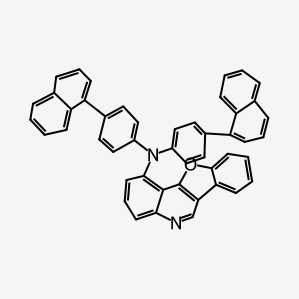 c1ccc2c(-c3ccc(N(c4ccc(-c5cccc6ccccc56)cc4)c4cccc5ncc6c7ccccc7oc6c45)cc3)cccc2c1